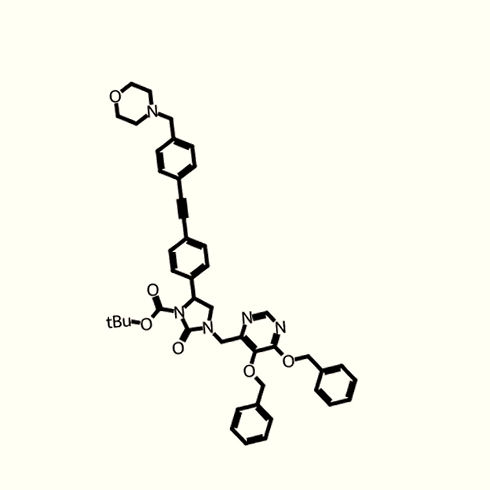 CC(C)(C)OC(=O)N1C(=O)N(Cc2ncnc(OCc3ccccc3)c2OCc2ccccc2)CC1c1ccc(C#Cc2ccc(CN3CCOCC3)cc2)cc1